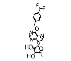 C[C@H]1O[C@@H](n2cnc3c(OCc4ccc(C(F)F)cc4)ncnc32)[C@H](O)[C@@H]1O